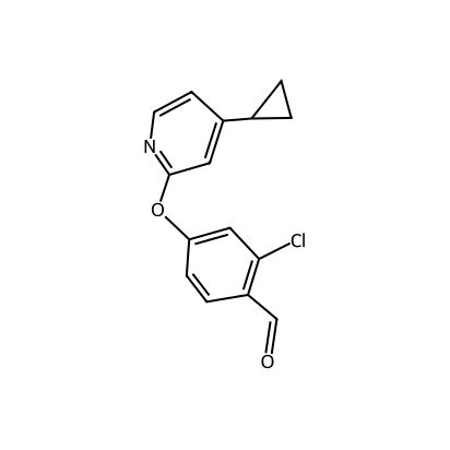 O=Cc1ccc(Oc2cc(C3CC3)ccn2)cc1Cl